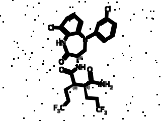 NC(=O)[C@@H](CCC(F)(F)F)[C@@H](CCC(F)(F)F)C(=O)N[C@H]1CN(c2cccc(Cl)c2)c2cccc(Cl)c2NC1=O